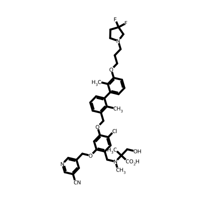 Cc1c(COc2cc(OCc3cncc(C#N)c3)c(CN(C)C(C)(CO)C(=O)O)cc2Cl)cccc1-c1cccc(OCCCN2CCC(F)(F)C2)c1C